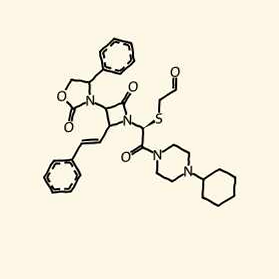 O=CCS[C@@H](C(=O)N1CCN(C2CCCCC2)CC1)N1C(=O)C(N2C(=O)OCC2c2ccccc2)C1/C=C/c1ccccc1